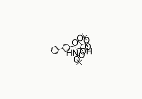 CC(C)(C)OC(=O)N[C@H](Cc1ccc(-c2ccccc2)cc1)C(O)C1C(=O)OC(C)(C)OC1=O